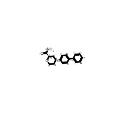 NC(=O)[C@H]1[C][C@H](c2ccc(-c3ccccc3)cc2)CCO1